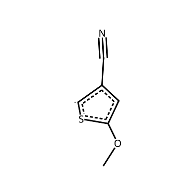 COc1cc(C#N)[c]s1